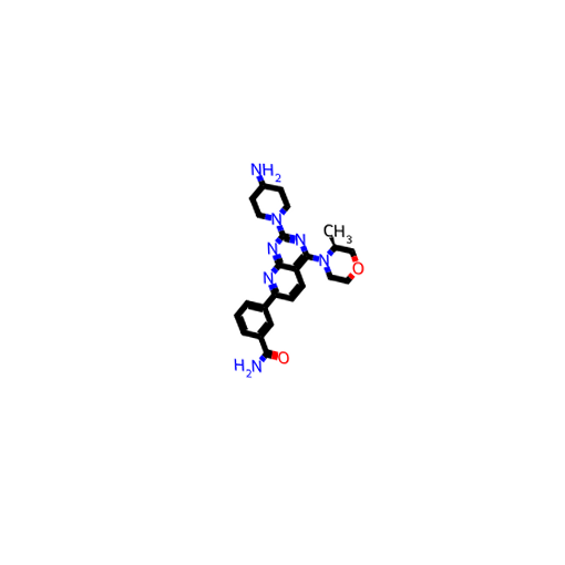 C[C@H]1COCCN1c1nc(N2CCC(N)CC2)nc2nc(-c3cccc(C(N)=O)c3)ccc12